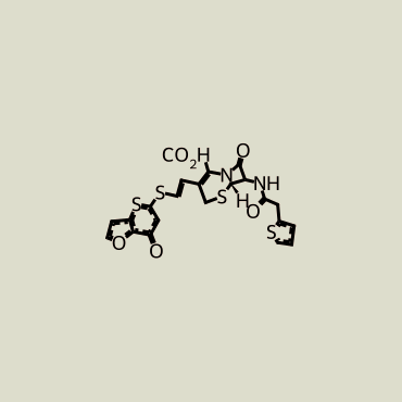 O=C(Cc1cccs1)NC1C(=O)N2C(C(=O)O)=C(C=CSc3cc(=O)c4occc4s3)CS[C@@H]12